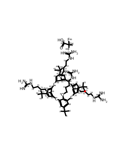 CC(C)(C)c1cc2c(OCCCCNC(=N)N)c(c1)Cc1cc(C(C)(C)C)cc(c1OCCCCNC(=N)N)Cc1cc(C(C)(C)C)cc(c1OCCCCNC(=N)N)Cc1cc(C(C)(C)C)cc(c1OCCCCNC(=N)N)C2.O=C(O)C(F)(F)F